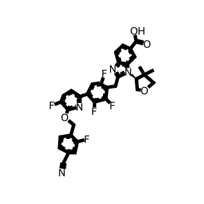 CC1(C)COC[C@H]1n1c(Cc2c(F)cc(-c3ccc(F)c(OCc4ccc(C#N)cc4F)n3)c(F)c2F)nc2ccc(C(=O)O)cc21